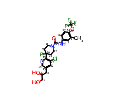 Cc1cc(NC(=O)N2CCC(F)(c3ncc(CC(O)CO)cc3Cl)CC2)ccc1OC(F)(F)F